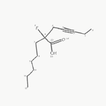 CCC#CCC(F)(CCCCCC)C(=O)O